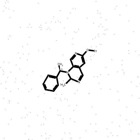 CCOc1cc2c(cn1)N([C@H](C)c1ccccc1)C(C)N=C2